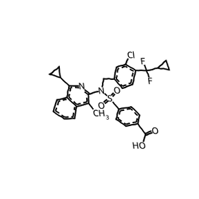 Cc1c(N(Cc2ccc(C(F)(F)C3CC3)c(Cl)c2)S(=O)(=O)c2ccc(C(=O)O)cc2)nc(C2CC2)c2ccccc12